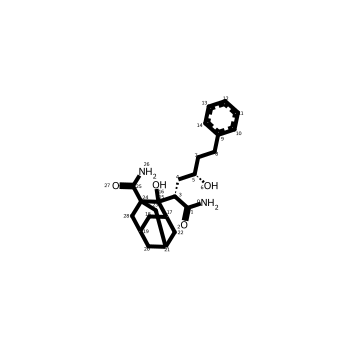 NC(=O)[C@@H](C[C@@H](O)[CH]Cc1ccccc1)C1(O)C2CC3CC(C2)CC1(C(N)=O)C3